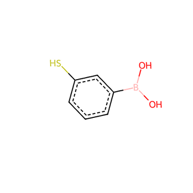 OB(O)c1cccc(S)c1